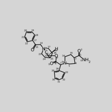 NC(=O)C1CCN(C(C(=O)O[C@H]2C[N+]3(CC(=O)c4ccccc4)CCC2CC3)c2ccccc2)CC1